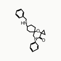 O=C1N(c2ccccc2)CC2(CCC(NCc3ccccc3)CC2)OC12CC2